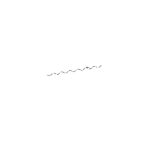 CCCC=CCCCCCCCCCO